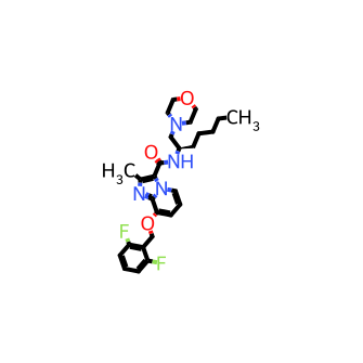 CCCCC[C@H](CN1CCOCC1)NC(=O)c1c(C)nc2c(OCc3c(F)cccc3F)cccn12